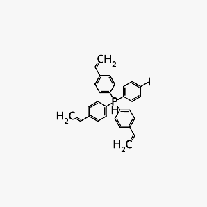 C=Cc1ccc([PH](c2ccc(I)cc2)(c2ccc(C=C)cc2)c2ccc(C=C)cc2)cc1